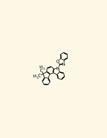 CC1(C)c2ccccc2-c2c1ccc1c2c2ccccc2n1-c1nc2ccccc2o1